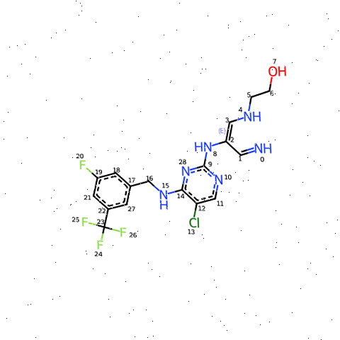 N=C/C(=C\NCCO)Nc1ncc(Cl)c(NCc2cc(F)cc(C(F)(F)F)c2)n1